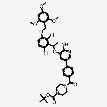 COc1cc(OC)c(COc2ccc(Cl)c(C(C)Oc3cc(-c4ccc(C(=O)N5CCN(C(=O)OC(C)(C)C)CC5)cc4)cnc3N)c2Cl)c(OC)c1